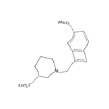 CCOC(=O)C1CCCN(CC2=Cc3ccc(OC)cc32)C1